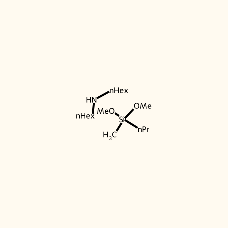 CCCCCCNCCCCCC.CCC[Si](C)(OC)OC